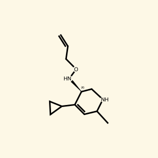 C=CCON[C@H]1CNC(C)C=C1C1CC1